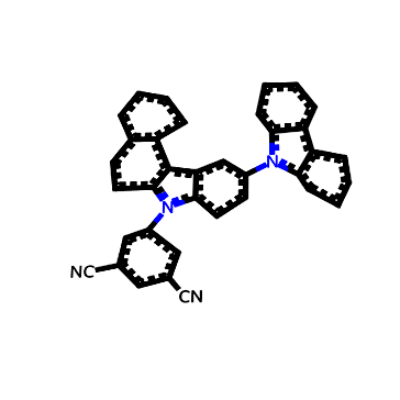 N#Cc1cc(C#N)cc(-n2c3ccc(-n4c5ccccc5c5ccccc54)cc3c3c4ccccc4ccc32)c1